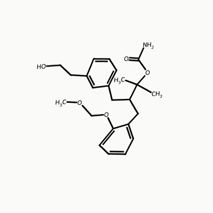 COCOc1ccccc1CC(Cc1cccc(CCO)c1)C(C)(C)OC(N)=O